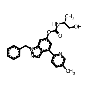 Cc1ccc(-c2cc(OC(=O)N[C@@H](C)CO)cc3c2cnn3Cc2ccccc2)nc1